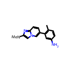 CNc1cn2cc(-c3cc(N)ccc3C)ccc2n1